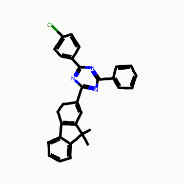 CC1(C)C2=C(CCC(c3nc(-c4ccccc4)nc(-c4ccc(Cl)cc4)n3)=C2)c2ccccc21